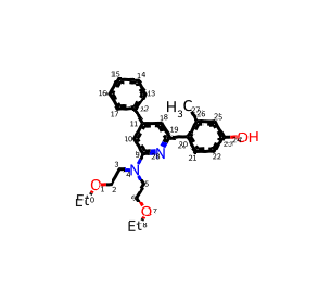 CCOCCN(CCOCC)c1cc(-c2ccccc2)cc(-c2ccc(O)cc2C)n1